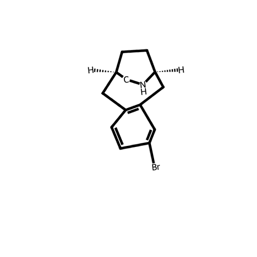 Brc1ccc2c(c1)C[C@@H]1CC[C@@H](CN1)C2